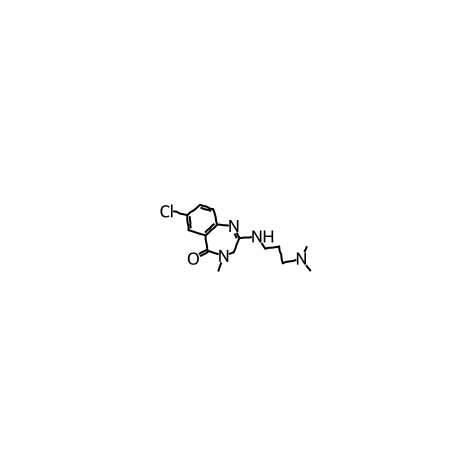 CN(C)CCCNC1=Nc2ccc(Cl)cc2C(=O)N(C)C1